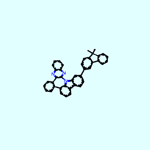 CC1(C)c2ccccc2-c2cc(-c3ccc4c5cccc6c5n(c4c3)-c3nc4ccccc4nc3-c3ccccc3-6)ccc21